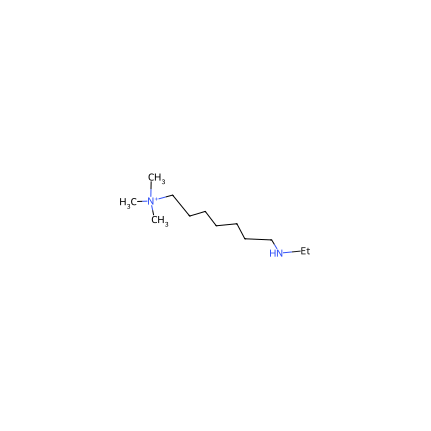 CCNCCCCCCC[N+](C)(C)C